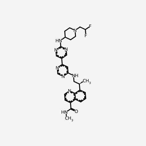 CNC(=O)c1ccnc2c([C@H](C)CNc3cc(-c4cnc(NC5CCN(CC(F)F)CC5)nc4)ncn3)cccc12